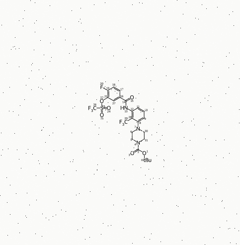 CC(C)(C)OC(=O)N1CCN(c2cccc(NC(=O)c3ccc(F)c(OS(=O)(=O)C(F)(F)F)c3)c2C(F)(F)F)CC1